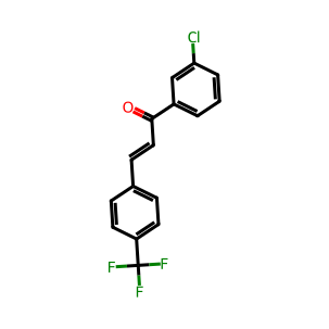 O=C(C=Cc1ccc(C(F)(F)F)cc1)c1cccc(Cl)c1